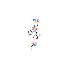 N=S1(=O)CCN(S(=O)(=O)N(Cc2ccc(-c3nnc(C(F)F)o3)cc2F)c2cccc(F)c2)CC1